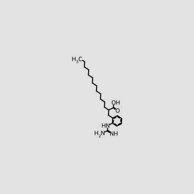 CCCCCCCCCCCCCC(Cc1ccccc1NC(=N)N)C(=O)O